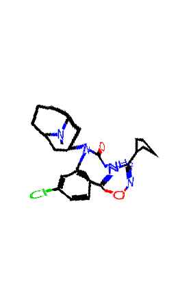 CN1C2CCCC1CC(N(C(N)=O)c1cc(Cl)ccc1-c1nc(C3CC3)no1)C2